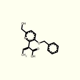 CC=C(C(=O)O)c1nc(CO)ccc1OCc1ccccc1